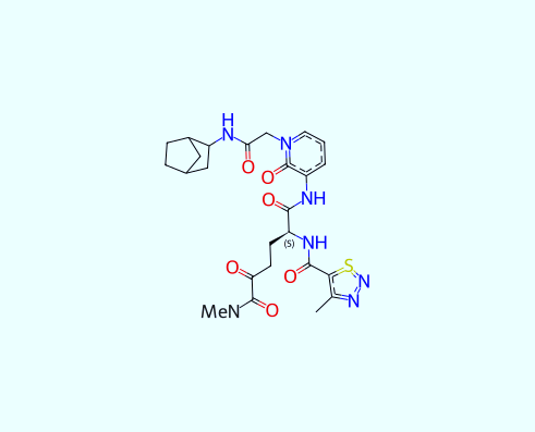 CNC(=O)C(=O)CC[C@H](NC(=O)c1snnc1C)C(=O)Nc1cccn(CC(=O)NC2CC3CCC2C3)c1=O